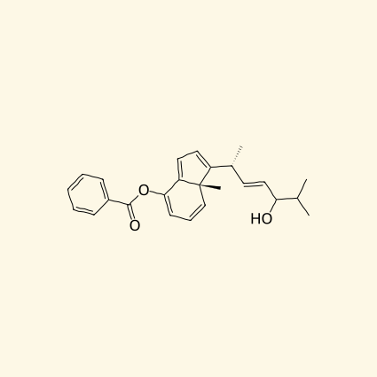 CC(C)C(O)/C=C/[C@@H](C)C1=CC=C2C(OC(=O)c3ccccc3)=CC=C[C@]21C